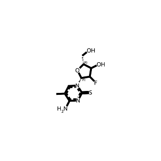 Cc1cn([C@@H]2O[C@H](CO)C(O)C2F)c(=S)nc1N